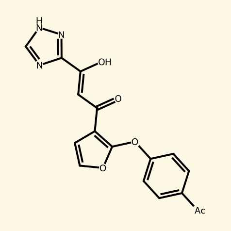 CC(=O)c1ccc(Oc2occc2C(=O)C=C(O)c2nc[nH]n2)cc1